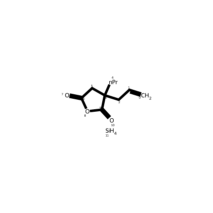 C=CCC1(CCC)CC(=O)OC1=O.[SiH4]